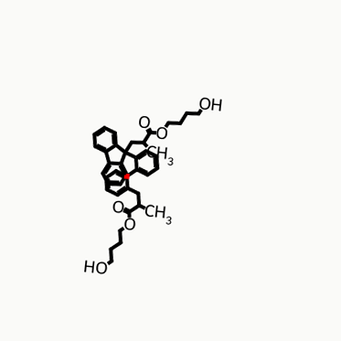 CC(Cc1ccccc1-c1ccccc1C1(CC(C)C(=O)OCCCCO)c2ccccc2-c2ccccc21)C(=O)OCCCCO